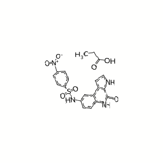 CCC(=O)O.O=c1[nH]c2ccc(NS(=O)(=O)c3ccc([N+](=O)[O-])cc3)cc2c2cc[nH]c12